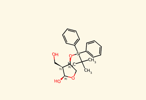 CC(C)(C)[Si](O[C@H]1CO[C@@H](O)[C@H]1CO)(c1ccccc1)c1ccccc1